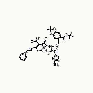 CC(C)(C)OC(=O)c1cc2c(cc1CO/N=C(\C(=O)NC1C(=O)N3C(C(=O)[O-])=C(/C=C/C[n+]4ccccc4)CS[C@@H]13)c1csc(N)n1)OC(C)(C)O2